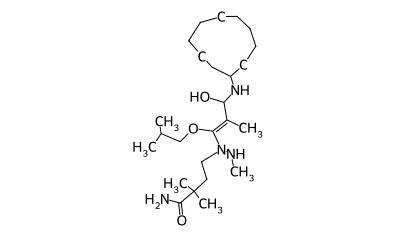 CNN(CCC(C)(C)C(N)=O)/C(OCC(C)C)=C(\C)C(O)NC1CCCCCCCCC1